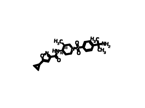 C[C@H]1CN(S(=O)(=O)c2ccc(C(C)(C)N)cc2)CC[C@H]1NC(=O)c1cc(C2CC2)on1